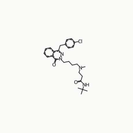 CN(CCCCn1nc(Cc2ccc(Cl)cc2)c2ccccc2c1=O)CCC(=O)NC(C)(C)C